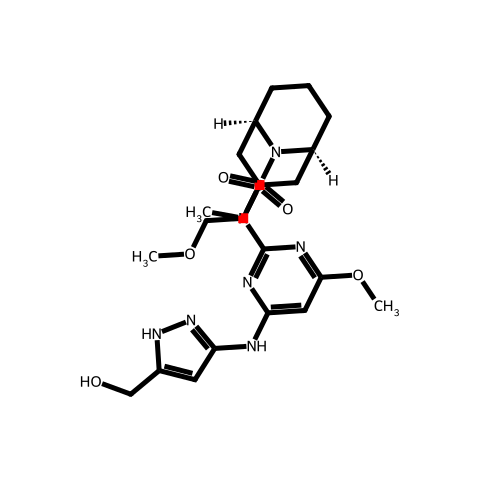 COCCS(=O)(=O)N1[C@@H]2CCC[C@H]1CC(N(C)c1nc(Nc3cc(CO)[nH]n3)cc(OC)n1)C2